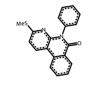 CSc1ccc2c3ccccc3c(=O)n(-c3ccccc3)c2n1